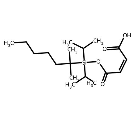 CCCCCC(C)(C)[Si](OC(=O)/C=C\C(=O)O)(C(C)C)C(C)C